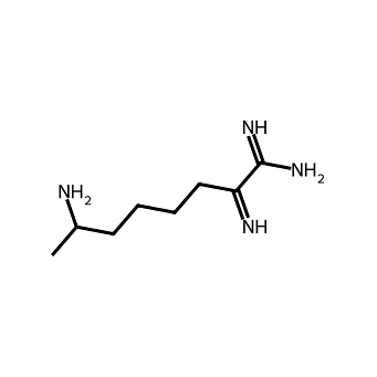 CC(N)CCCCC(=N)C(=N)N